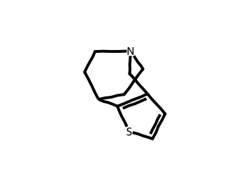 c1cc2c(s1)C1CCN(CC1)C2